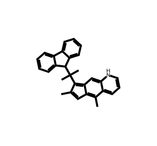 Cc1cc2c(C)c3ccc[nH]c3cc2c1C(C)(C)C1c2ccccc2-c2ccccc21